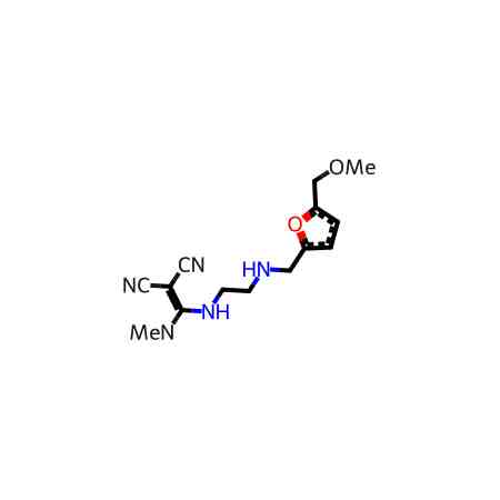 CNC(NCCNCc1ccc(COC)o1)=C(C#N)C#N